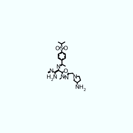 C=N/C(N)=C(\N=C(/C)c1ccc(S(=O)(=O)C(C)C)cc1)C1OC(CN2CCC(N)C2)=NN1C